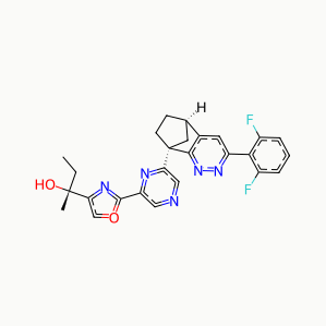 CC[C@@](C)(O)c1coc(-c2cncc([C@]34CC[C@H](C3)c3cc(-c5c(F)cccc5F)nnc34)n2)n1